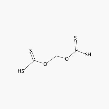 S=C(S)OCOC(=S)S